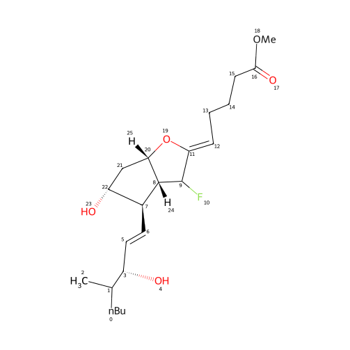 CCCCC(C)[C@@H](O)/C=C/[C@@H]1[C@H]2C(F)/C(=C/CCCC(=O)OC)O[C@H]2C[C@H]1O